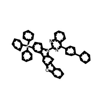 c1ccc(-c2ccc(-c3nc(-n4c5ccc(S(c6ccccc6)(c6ccccc6)c6ccccc6)cc5c5cc6oc7ccccc7c6cc54)nc4ccccc34)cc2)cc1